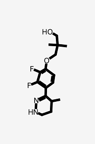 CC1CCNN=C1c1ccc(OCC(C)(C)CO)c(F)c1F